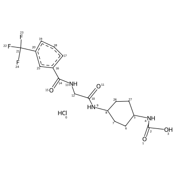 Cl.O=C(O)NC1CCC(NC(=O)CNC(=O)c2cccc(C(F)(F)F)c2)CC1